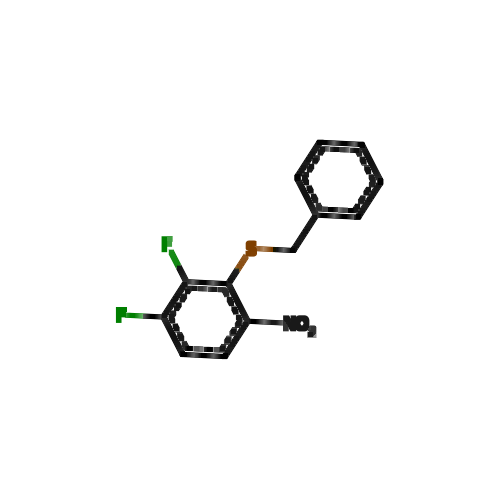 O=[N+]([O-])c1ccc(F)c(F)c1SCc1ccccc1